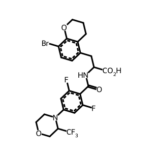 O=C(NC(Cc1ccc(Br)c2c1CCCO2)C(=O)O)c1c(F)cc(N2CCOCC2C(F)(F)F)cc1F